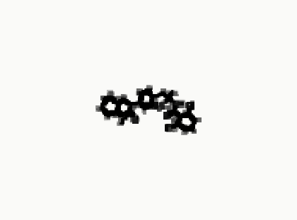 Cn1c(=O)c(-c2ccc(C[C@](C)(NC(=O)c3c(Cl)cccc3Cl)C(=O)O)cc2)cc2ccccc21